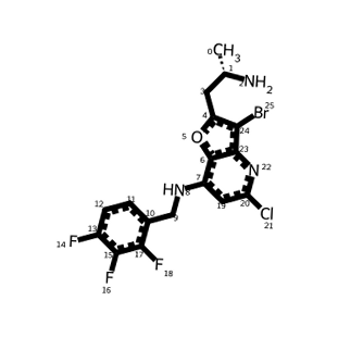 C[C@H](N)Cc1oc2c(NCc3ccc(F)c(F)c3F)cc(Cl)nc2c1Br